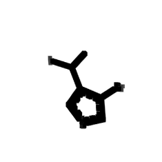 CC(I)c1cscc1Br